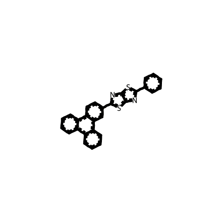 c1ccc(-c2nc3sc(-c4ccc5c6ccccc6c6ccccc6c5c4)nc3s2)cc1